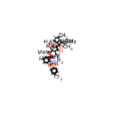 CCC[C@H](OC)[C@H](NC)C(C)C(C[C@@H](C)[C@@](O)(C[C@@H](C)OC)[C@]1(O)C(C)C[C@H](C)[C@@H]1OC)[C@H](C)OC(=O)c1ccccc1NS(=O)(=O)c1ccc(C(F)(F)F)cc1